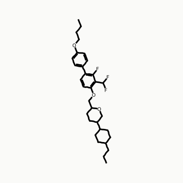 CCCCOc1ccc(-c2ccc(OCC3CCC(C4CCC(CCC)CC4)CO3)c(C(F)F)c2F)cc1